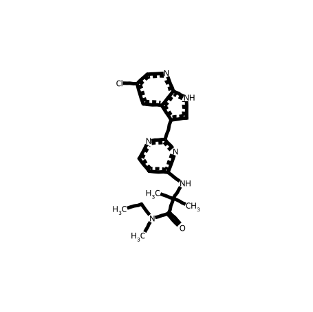 CCN(C)C(=O)C(C)(C)Nc1ccnc(-c2c[nH]c3ncc(Cl)cc23)n1